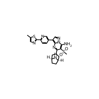 Cc1cnc(-c2ccc(-c3cnn4c(N)c(S(C)(=O)=O)c(C5C[C@H]6CC[C@@H](C5)N6)nc34)cn2)s1